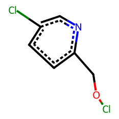 ClOCc1ccc(Cl)cn1